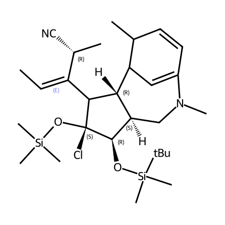 C/C=C(/C1[C@@H]2C3C=C(C=CC3C)N(C)C[C@H]2[C@@H](O[Si](C)(C)C(C)(C)C)[C@]1(Cl)O[Si](C)(C)C)[C@@H](C)C#N